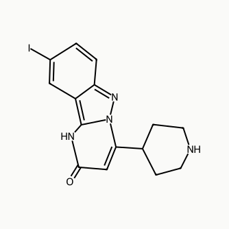 O=c1cc(C2CCNCC2)n2nc3ccc(I)cc3c2[nH]1